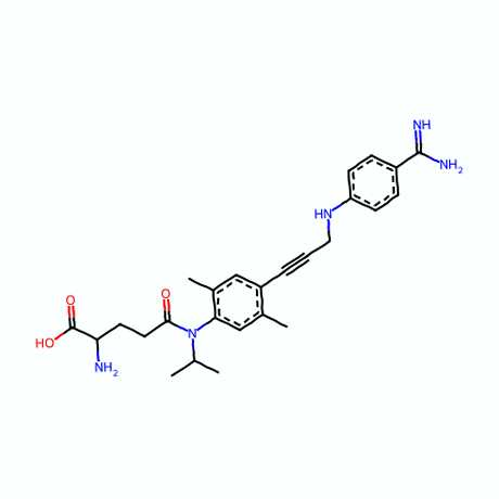 Cc1cc(N(C(=O)CCC(N)C(=O)O)C(C)C)c(C)cc1C#CCNc1ccc(C(=N)N)cc1